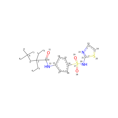 CCC(CC)(CC(C)(C)C)C(=O)Nc1ccc(S(=O)(=O)Nc2nccs2)cc1